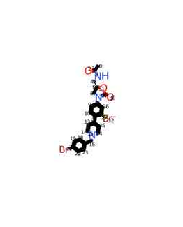 CC(=O)NC[C@H]1CN(c2ccc(-c3cc[n+](Cc4ccc(Br)cc4)cc3)c(F)c2)C(=O)O1.[Br-]